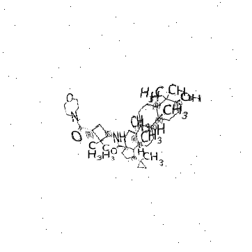 CC1([C@@H]2CC[C@]3(C(=O)N[C@H]4C[C@@H](C(=O)N5CCOCC5)C4(C)C)CC[C@]4(C)[C@H](CC[C@@H]5[C@@]6(C)CC[C@H](O)C(C)(C)[C@@H]6CC[C@]54C)C23)CC1